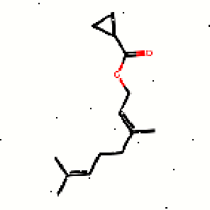 CC(C)=CCC/C(C)=C/COC(=O)C1CC1